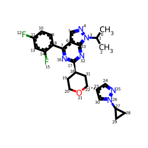 CC(C)n1ncc2c(-c3ccc(F)cc3F)nc([C@@H]3CCO[C@@H](c4cnn(C5CC5)c4)C3)nc21